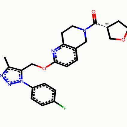 Cc1nnn(-c2ccc(F)cc2)c1COc1ccc2c(n1)CCN(C(=O)[C@@H]1CCOC1)C2